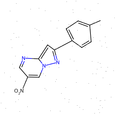 Cc1ccc(-c2cc3ncc([N+](=O)[O-])cn3n2)cc1